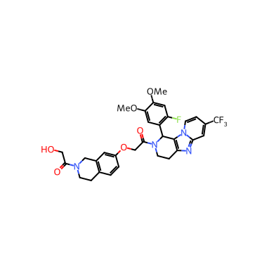 COc1cc(F)c(C2c3c(nc4cc(C(F)(F)F)ccn34)CCN2C(=O)COc2ccc3c(c2)CN(C(=O)CO)CC3)cc1OC